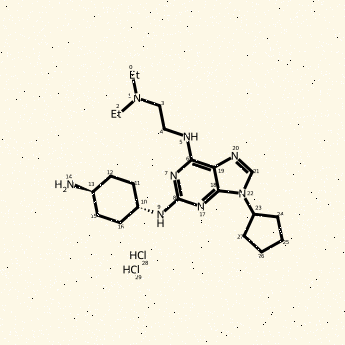 CCN(CC)CCNc1nc(N[C@H]2CC[C@H](N)CC2)nc2c1ncn2C1CCCC1.Cl.Cl